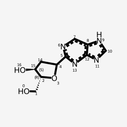 OC[C@H]1O[C](c2ncc3[nH]cnc3n2)C[C@@H]1O